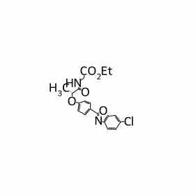 CCOC(=O)CNC(=O)[C@@H](C)Oc1ccc(-c2nc3ccc(Cl)cc3o2)cc1